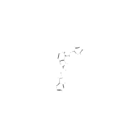 Fc1cccnc1CNc1nccc2oc(CCOCc3ccccc3)nc12